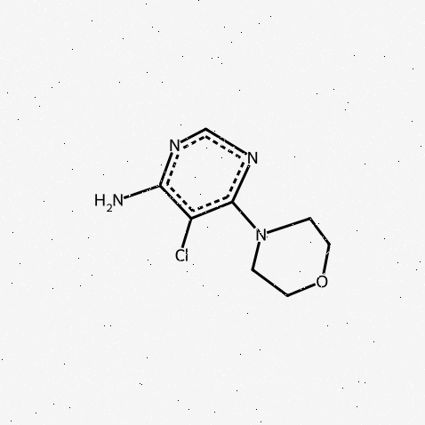 Nc1ncnc(N2CCOCC2)c1Cl